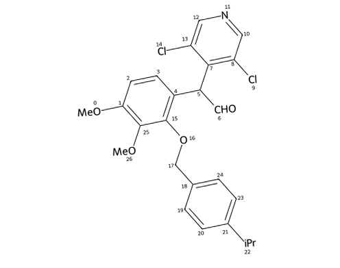 COc1ccc(C(C=O)c2c(Cl)cncc2Cl)c(OCc2ccc(C(C)C)cc2)c1OC